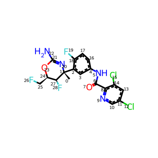 C[C@]1(c2cc(NC(=O)c3ncc(Cl)cc3Cl)ccc2F)N=C(N)O[C@H](CF)[C@@H]1F